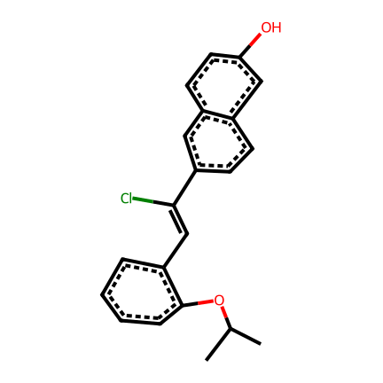 CC(C)Oc1ccccc1/C=C(\Cl)c1ccc2cc(O)ccc2c1